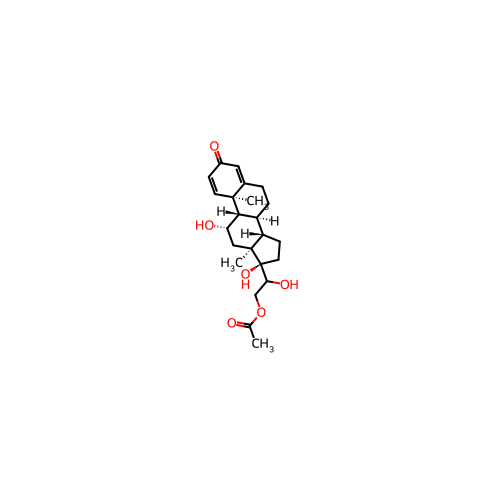 CC(=O)OCC(O)[C@@]1(O)CC[C@H]2[C@@H]3CCC4=CC(=O)C=C[C@]4(C)[C@H]3[C@@H](O)C[C@@]21C